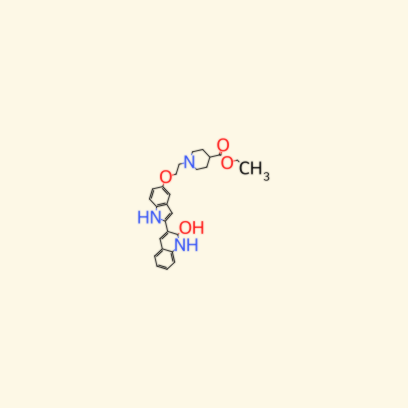 CCOC(=O)C1CCN(CCOc2ccc3[nH]c(C4=Cc5ccccc5NC4O)cc3c2)CC1